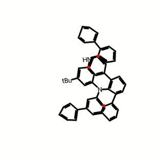 CC(C)(C)c1cc(Nc2ccccc2-c2ccccc2)cc(N(c2cccc(-c3ccccc3)c2)c2c(-c3ccccc3)cccc2-c2ccccc2)c1